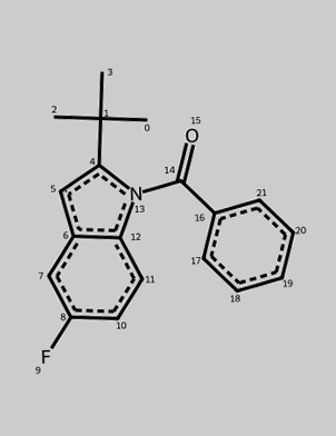 CC(C)(C)c1[c]c2cc(F)ccc2n1C(=O)c1ccccc1